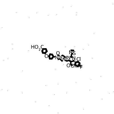 COC(=O)C1=C(CN2CCN3C(=O)N(c4ccc(Oc5ccc(C(=O)O)cc5)cc4)CC3C2)NC(c2nccs2)=N[C@H]1c1ccc(F)cc1Cl